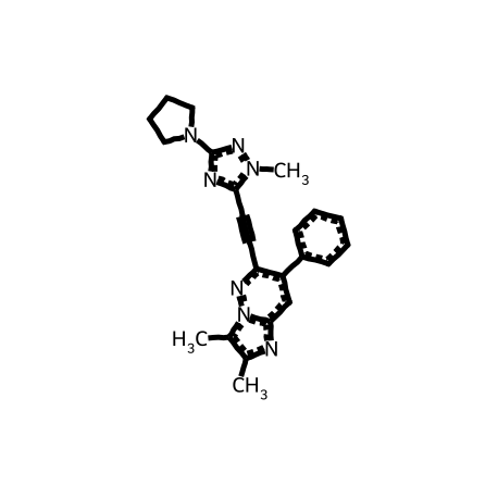 Cc1nc2cc(-c3ccccc3)c(C#Cc3nc(N4CCCC4)nn3C)nn2c1C